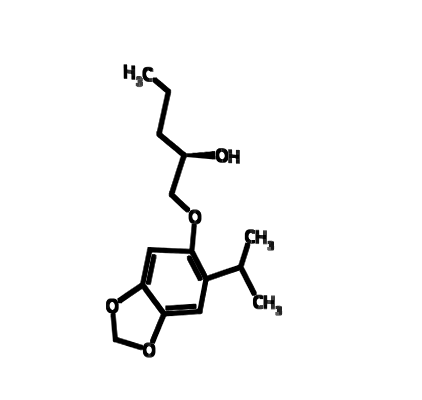 CCC[C@@H](O)COc1cc2c(cc1C(C)C)OCO2